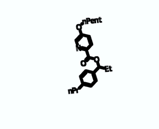 CCCCCOc1ccc(C(=O)OC(CC)c2ccc(CCC)cc2)nc1